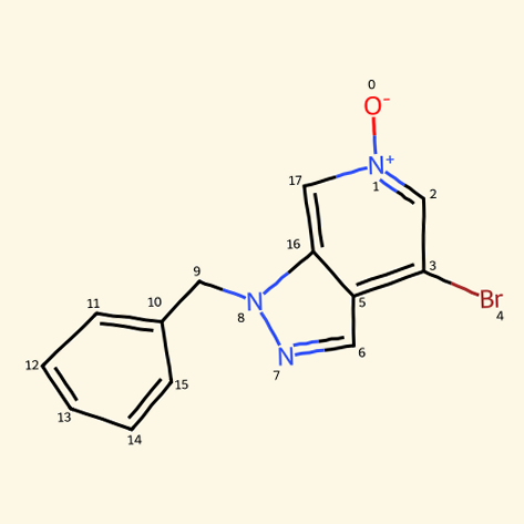 [O-][n+]1cc(Br)c2cnn(Cc3ccccc3)c2c1